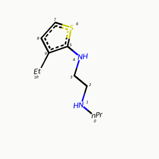 CCCNCCNc1sccc1CC